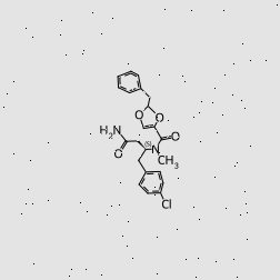 CN(C(=O)C1=COC(Cc2ccccc2)O1)[C@H](CC(N)=O)Cc1ccc(Cl)cc1